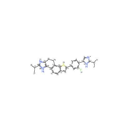 CC(C)c1ncc(-c2ccc(-c3cc4ccc5c(c4s3)CCc3nc(C(C)C)[nH]c3-5)cc2F)[nH]1